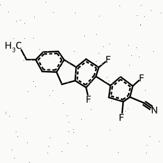 CCc1ccc2c(c1)Cc1c-2cc(F)c(-c2cc(F)c(C#N)c(F)c2)c1F